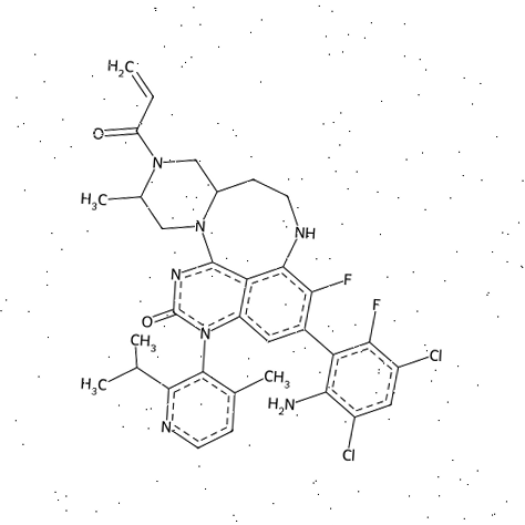 C=CC(=O)N1CC2CCNc3c(F)c(-c4c(N)c(Cl)cc(Cl)c4F)cc4c3c(nc(=O)n4-c3c(C)ccnc3C(C)C)N2CC1C